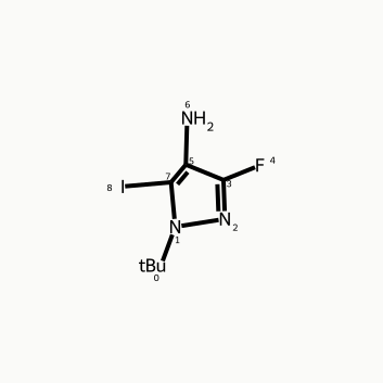 CC(C)(C)n1nc(F)c(N)c1I